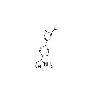 NCC(N)c1ccc(-c2csc(C3CC3)c2)cc1